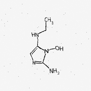 CCNc1cnc(N)n1O